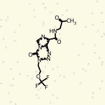 CC(=O)CNC(=O)c1ncn2c(=O)n(CCOC(F)(F)F)nnc12